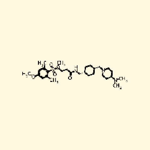 COc1cc(C)c(S(=O)(=O)N(C)CCC(=O)NC[C@H]2CC[C@H](CN3CCC(N(C)C)CC3)CC2)c(C)c1